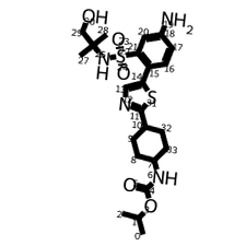 CC(C)OC(=O)NC1CCC(c2ncc(-c3ccc(N)cc3S(=O)(=O)NC(C)(C)CO)s2)CC1